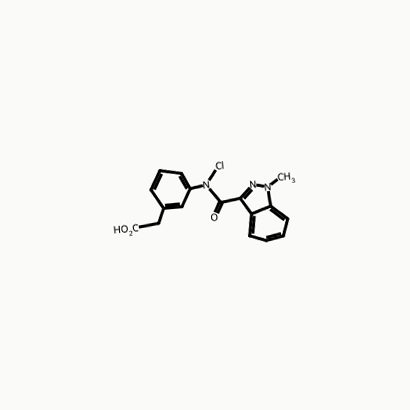 Cn1nc(C(=O)N(Cl)c2cccc(CC(=O)O)c2)c2ccccc21